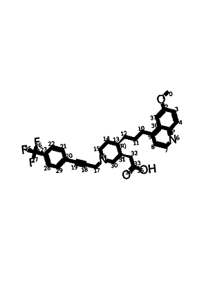 COc1ccc2nccc(CCC[C@@H]3CCN(CC#Cc4ccc(C(F)(F)F)cc4)C[C@@H]3CC(=O)O)c2c1